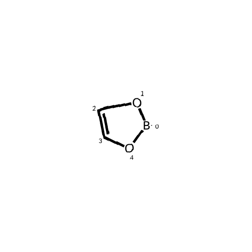 [B]1OC=CO1